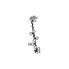 CCCCOC(=O)CCCCCOC(=O)/C=C/C(=O)OCC(O)COC(=O)C(C)(C)CC